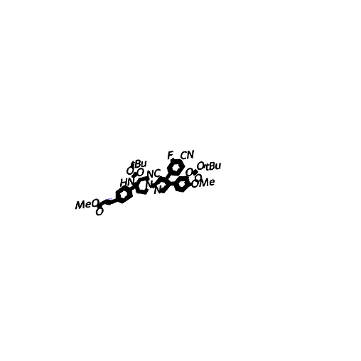 COC(=O)/C=C/c1ccc(C2(NC(=O)OC(C)(C)C)CCN(c3ncc(-c4ccc(OC)c(OC(=O)OC(C)(C)C)c4)c(-c4ccc(C#N)c(F)c4)c3C#N)CC2)cc1